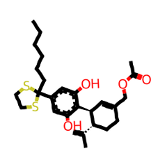 C=C(C)[C@H]1CCC(COC(C)=O)=C[C@@H]1c1c(O)cc(C2(CCCCCC)SCCS2)cc1O